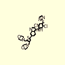 Cn1ccnc1Sc1ccc(Nc2c(C#N)cnc3cc(-c4cc(CN5CCOCC5)c(CN5CCOCC5)s4)ccc23)cc1Cl